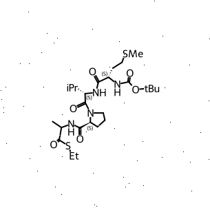 CCSC(=O)C(C)NC(=O)[C@@H]1CCCN1C(=O)[C@@H](NC(=O)[C@H](CCSC)NC(=O)OC(C)(C)C)C(C)C